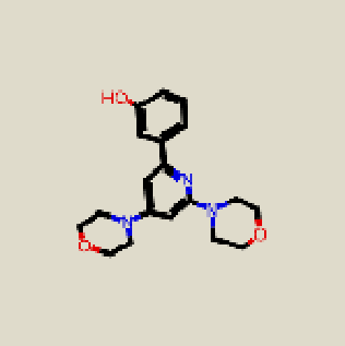 Oc1cccc(-c2cc(N3CCOCC3)cc(N3CCOCC3)n2)c1